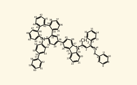 C/C(=C\C(=N/Cc1ccccc1)c1ccccc1)n1c2ccccc2c2cc(-c3ccc4c(c3)c3ccccc3c3ccccc3c3ccccc3n4-c3ccc(-c4ccccc4)cc3)ccc21